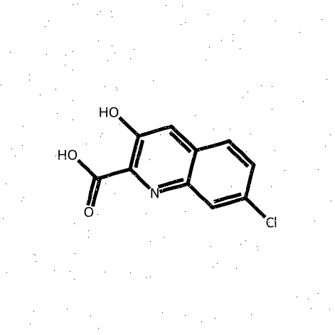 O=C(O)c1nc2cc(Cl)ccc2cc1O